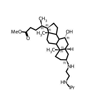 COC(=O)CC[C@@H](C)[C@H]1CCC2C3C(CC[C@@]21C)[C@@]1(C)CC[C@H](NCCNC(C)C)C[C@H]1C[C@H]3O